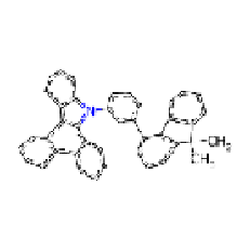 CC1(C)c2ccccc2-c2c(-c3cccc(-n4c5ccccc5c5c6ccccc6c6ccccc6c54)c3)cccc21